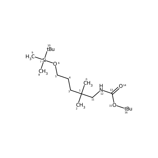 CC(C)(CCCO[Si](C)(C)C(C)(C)C)CNC(=O)OC(C)(C)C